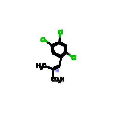 C/C(=C\c1cc(Cl)c(Cl)cc1Cl)C(=O)O